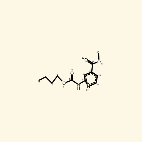 CCCCOC(=O)Nc1cc(C(=O)OC)ccn1